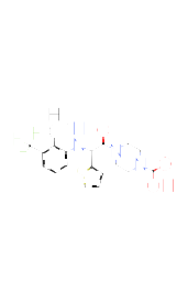 Cc1c(NC(C(=O)N2CCN(C(=O)O)CC2)c2cccs2)cccc1C(F)(F)F